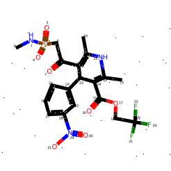 CNS(=O)(=O)CC(=O)C1=C(C)NC(C)=C(C(=O)OCC(F)(F)F)C1c1cccc([N+](=O)[O-])c1